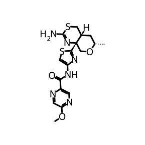 COc1cnc(C(=O)Nc2csc([C@]34CO[C@@H](C)C[C@H]3CSC(N)=N4)n2)cn1